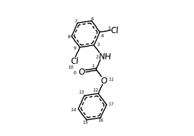 O=C(Nc1c(Cl)cccc1Cl)Oc1ccccc1